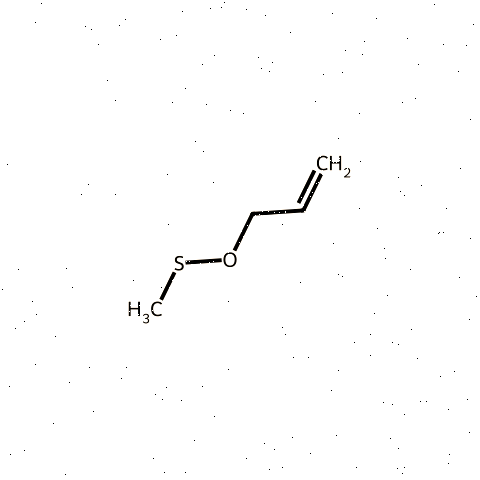 C=CCOSC